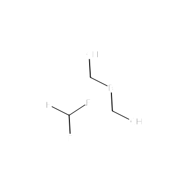 CC[B]CC.FC(F)F